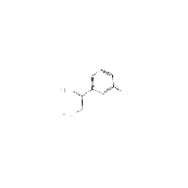 COC[C](C)c1cccc(Cl)c1